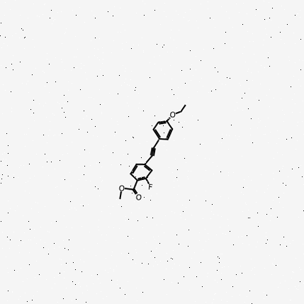 CCOc1ccc(C#Cc2ccc(C(=O)OC)c(F)c2)cc1